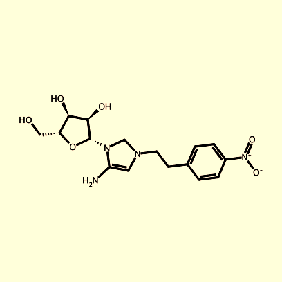 NC1=CN(CCc2ccc([N+](=O)[O-])cc2)CN1[C@@H]1O[C@H](CO)[C@@H](O)[C@H]1O